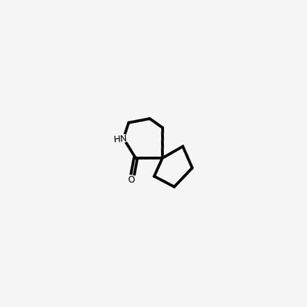 O=C1NCCCC12CCCC2